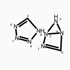 c1nn2[nH]n12.c1nnn[nH]1